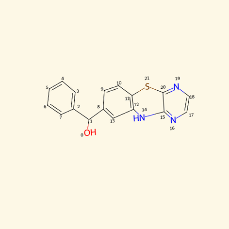 OC(c1ccccc1)c1ccc2c(c1)Nc1nccnc1S2